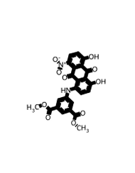 COC(=O)c1cc(Nc2ccc(O)c3c2C(=O)c2c([N+](=O)[O-])ccc(O)c2C3=O)cc(C(=O)OC)c1